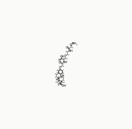 C[C@]12CC[C@@H]3c4ccc(OCC(=O)NC(CCCCNC(=O)CON)C(=O)O)cc4CC[C@H]3[C@@H]1CC[C@@H]2O